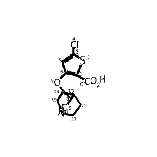 O=C(O)c1sc(Cl)cc1OC1CN2CCC1CC2